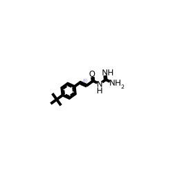 CC(C)(C)c1ccc(/C=C/C(=O)NC(=N)N)cc1